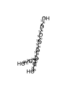 OCCCOCCCOCCCOCCCOCCCOC(COCCCO)COCCCO